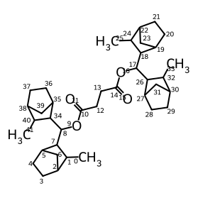 CC1C2CCC(C2)C1C(OC(=O)CCC(=O)OC(C1C2CCC(C2)C1C)C1C2CCC(C2)C1C)C1C2CCC(C2)C1C